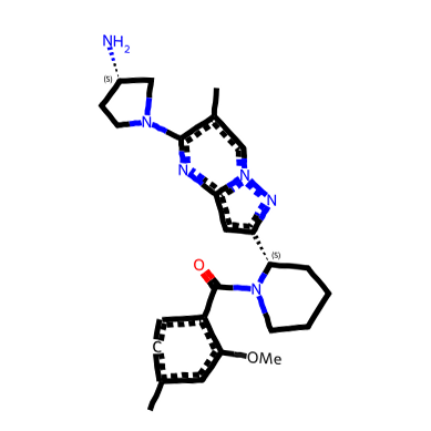 COc1cc(C)ccc1C(=O)N1CCCC[C@H]1c1cc2nc(N3CC[C@H](N)C3)c(C)cn2n1